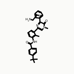 Cc1c(NC(=O)c2ccc(C(C)(C)C)cc2)cccc1-c1cn(C)c(=O)c(N2c3ccc(cc3)C2CN)n1